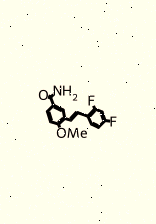 COc1ccc(C(N)=O)cc1/C=C/c1ccc(F)cc1F